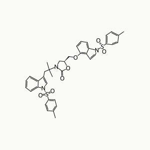 Cc1ccc(S(=O)(=O)n2cc(CC(C)(C)N3C[C@@H](COc4cccc5c4ccn5S(=O)(=O)c4ccc(C)cc4)OC3=O)c3ccccc32)cc1